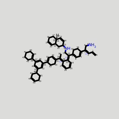 C=C/C=C(\CN)C1=CC=C(/C(CNC2C=C[C@H]3CCC=CC3C2)=c2\cccc\c2=C(\C)C2=CC=C(c3cc(C4=CCCCC4)cc(C4CC=CCC4)c3)CC2)CC1